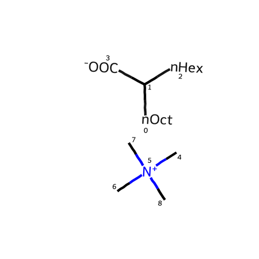 CCCCCCCCC(CCCCCC)C(=O)[O-].C[N+](C)(C)C